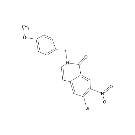 COc1ccc(Cn2ccc3cc(Br)c([N+](=O)[O-])cc3c2=O)cc1